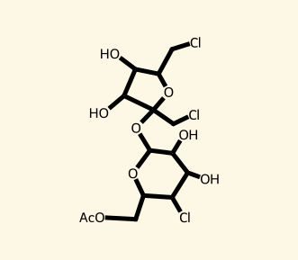 CC(=O)OCC1OC(OC2(CCl)OC(CCl)C(O)C2O)C(O)C(O)C1Cl